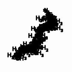 CNCCn1c([C@@]23CC[C@]4(C)[C@H](CC[C@@H]5[C@@]6(C)CC[C@H](OC(=O)CC(C)(C)C(=O)Oc7cc(-n8c(=O)c(C)c([C@@]9%10CC[C@]%11(C)[C@H](CC[C@@H]%12[C@@]%13(C)CC[C@H](OC(=O)CC(C)(C)C(=O)O)C(C)(C)[C@@H]%13CC[C@]%12%11C)C9=C(C(C)C)C(=O)C%10)n8CCN)ccc7C#N)C(C)(C)[C@@H]6CC[C@]54C)C2=C(C(C)C)C(=O)C3)c(C)c(=O)n1-c1ccc(C#N)cc1